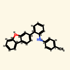 Cc1ccc(Nc2ccccc2-c2ccc3c(c2)oc2ccccc23)cc1